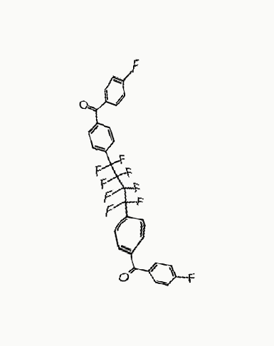 O=C(c1ccc(F)cc1)c1ccc(C(F)(F)C(F)(F)C(F)(F)C(F)(F)c2ccc(C(=O)c3ccc(F)cc3)cc2)cc1